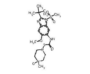 COc1cc2nc(C(C)(C)C)n(S(C)(=O)=O)c2cc1NC(=O)SN1CC[N+](C)([O-])CC1